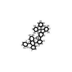 c1ccc(-c2c3ccccc3c(-c3cccc4c3oc3cc5c(cc34)-c3ccccc3C5(c3ccccc3)c3ccccc3)c3ccccc23)cc1